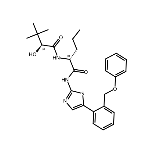 CCC[C@@H](NC(=O)[C@@H](O)C(C)(C)C)C(=O)Nc1ncc(-c2ccccc2COc2ccccc2)s1